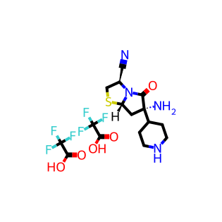 N#C[C@@H]1CS[C@H]2C[C@](N)(C3CCNCC3)C(=O)N12.O=C(O)C(F)(F)F.O=C(O)C(F)(F)F